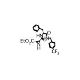 CCOC(=O)[C@H]1N[C@@H]1C(=O)N[C@@H](Cc1ccccc1)C(=O)NCc1ccc(C(F)(F)F)cc1